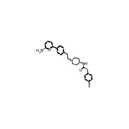 Nc1cccc(-c2ccc(CCN3CCC(NC(=O)Cc4ccc(F)cc4)CC3)cc2)n1